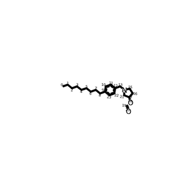 CCCCCCCCCc1ccc(CN2CCC(OC=O)C2)cc1